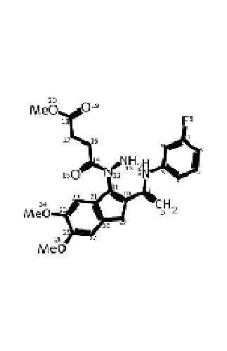 C=C(Nc1cccc(F)c1)C1=C(N(N)C(=O)CCC(=O)OC)c2cc(OC)c(OC)cc2C1